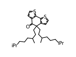 CC(C)CCCC(C)CCC1(CCC(C)CCCC(C)C)C(=O)c2ccsc2-c2sccc21